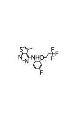 Cc1csc2ncnc(Nc3ccc(F)cc3OCCC(F)(F)F)c12